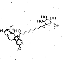 CC[C@H]1C[C@H]2C[C@H]3c4c(c5cc(OC)ccc5n4C(=O)CCCCCCCCO[C@H]4OC(CO)[C@@H](O)[C@H](O)C4O)CCN(C2)C13